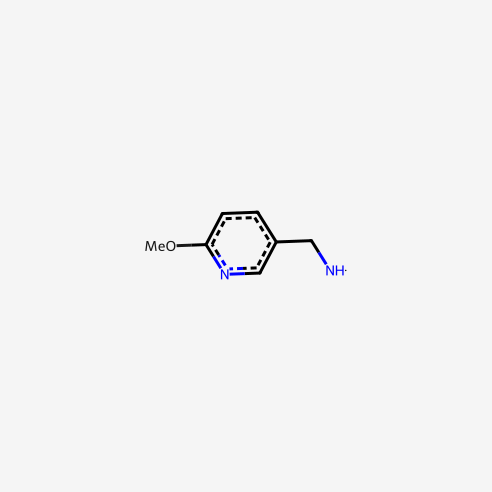 COc1ccc(C[NH])cn1